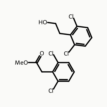 COC(=O)Cc1c(Cl)cccc1Cl.OCCc1c(Cl)cccc1Cl